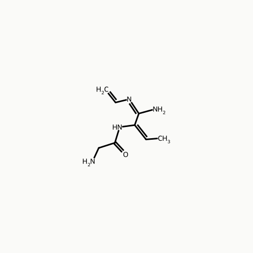 C=C/N=C(N)\C(=C/C)NC(=O)CN